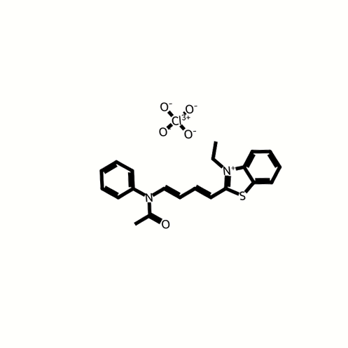 CC[n+]1c(C=CC=CN(C(C)=O)c2ccccc2)sc2ccccc21.[O-][Cl+3]([O-])([O-])[O-]